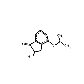 CC1Cc2c(OP(C)C)cccc2C1=O